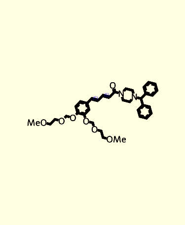 COCCOCOc1ccc(/C=C/C=C/C(=O)N2CCN(C(c3ccccc3)c3ccccc3)CC2)cc1OCOCCOC